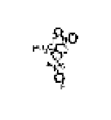 O=C(CC1(C(=O)O)CCN(C(=O)N(c2ccc(F)cc2)C2CC2)CC1)N(c1ccccc1)c1ccccc1F